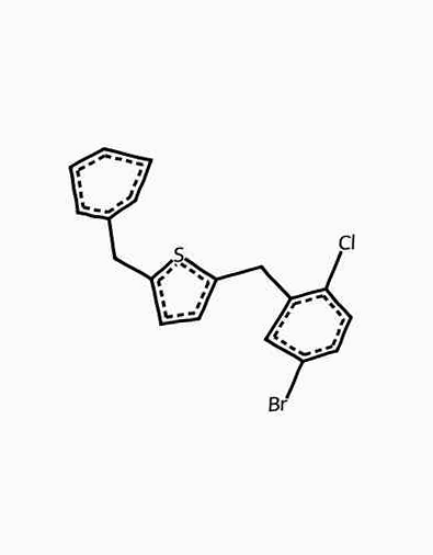 Clc1ccc(Br)cc1Cc1ccc(Cc2ccccc2)s1